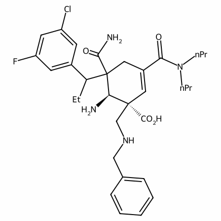 CCCN(CCC)C(=O)C1=C[C@](CNCc2ccccc2)(C(=O)O)[C@@H](N)C(C(N)=O)(C(CC)c2cc(F)cc(Cl)c2)C1